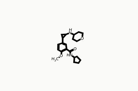 COc1ccc(C2CC2NC2CCOCC2)cc1C(=O)NC1CCCC1